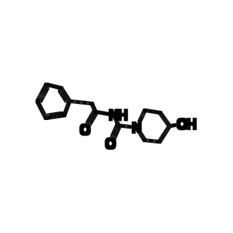 O=C(Cc1ccccc1)NC(=O)N1CCC(O)CC1